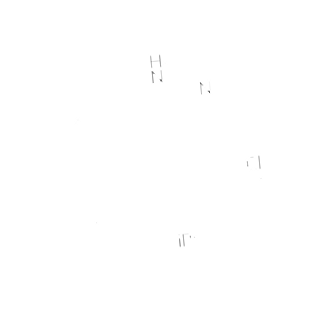 CC(C)c1cccc2[nH]nc(Cl)c12